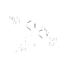 CC(C)(C)NCC(O)COc1ccccc1-c1ccc(NN)nn1.Cl.Cl.O